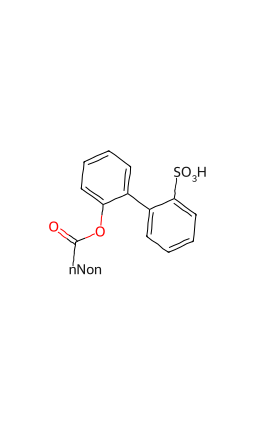 CCCCCCCCCC(=O)Oc1ccccc1-c1ccccc1S(=O)(=O)O